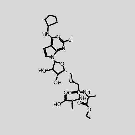 CCOC(=O)C(C)NP(=O)(COC[C@H]1O[C@@H](n2ccc3c(NC4CCCC4)nc(Cl)nc32)[C@H](O)[C@@H]1O)NC(C)C(=O)O